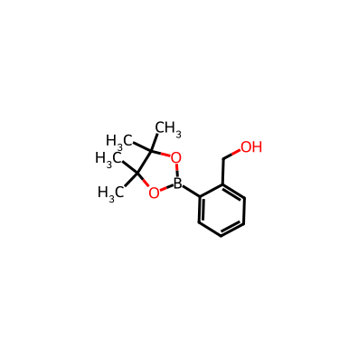 CC1(C)OB(c2ccccc2CO)OC1(C)C